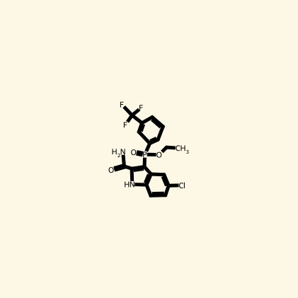 CCOP(=O)(c1cccc(C(F)(F)F)c1)c1c(C(N)=O)[nH]c2ccc(Cl)cc12